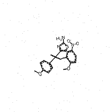 COc1ccc(C(C)(Cc2cc([N+](=O)[O-])ccc2OC)c2csc(N)n2)cc1